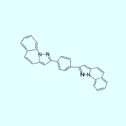 c1ccc2c(c1)ccc1cc(-c3ccc(-c4cc5ccc6ccccc6n5n4)cc3)nn12